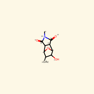 CC(=O)OC1C(O)C2OC1C1C(=O)N(C)C(=O)C21